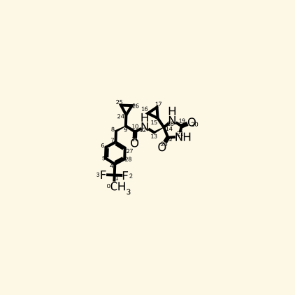 CC(F)(F)c1ccc(C[C@H](C(=O)NC[C@@]2(C3CC3)NC(=O)NC2=O)C2CC2)cc1